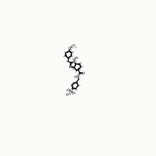 CCS(=O)(=O)c1ccc(CNC(=O)c2ccc3c(c2)nc(Cc2ccc(OC(F)(F)F)cc2)n3C(C)C)cc1